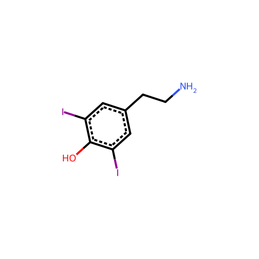 NCCc1cc(I)c(O)c(I)c1